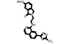 COc1ccc2c(c1)C(=O)N(CCNc1nccc3ccc(-c4noc(C)n4)cc13)C2